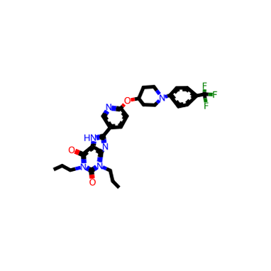 CCCn1c(=O)c2[nH]c(-c3ccc(OC4CCN(c5ccc(C(F)(F)F)cc5)CC4)nc3)nc2n(CCC)c1=O